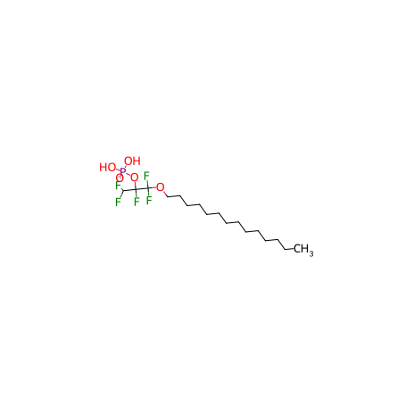 CCCCCCCCCCCCCCOC(F)(F)C(F)(OP(=O)(O)O)C(F)F